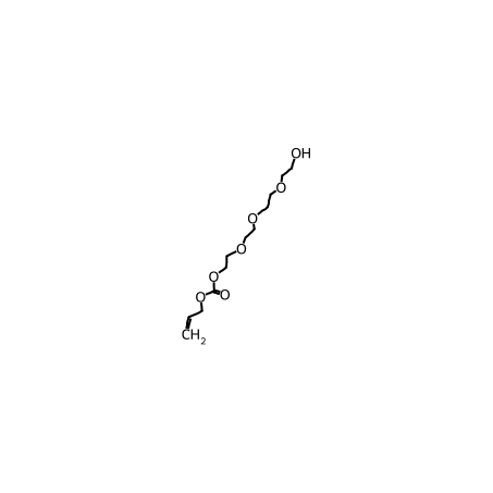 C=CCOC(=O)OCCOCCOCCOCCO